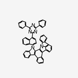 c1ccc(-c2nc(-c3ccccc3)nc(-c3ccc(-n4c5ccccc5c5c6ccccc6c6c7cccc8c9ccccc9n(c87)c6c54)c4ccccc34)n2)cc1